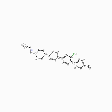 C/C=C/C1CCC(c2ccc(-c3ccc(-c4ccc(CC)cc4)c(F)c3)cc2)CC1